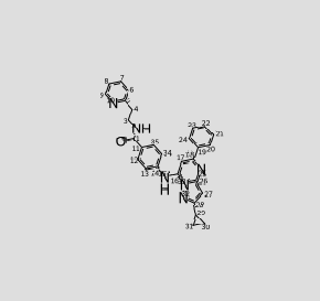 O=C(NCCc1ccccn1)c1ccc(Nc2cc(-c3ccccc3)nc3cc(C4CC4)nn23)cc1